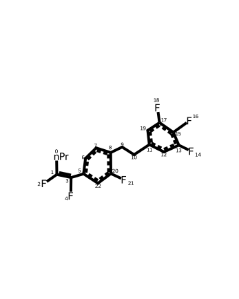 CCC/C(F)=C(/F)c1ccc(CCc2cc(F)c(F)c(F)c2)c(F)c1